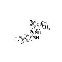 CN(C)c1cc(NC(=O)N(S)c2ccc(C(N)=O)cc2)cc(C(F)(F)F)c1